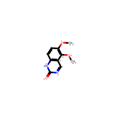 COc1ccc2[nH]c(=O)ncc2c1OC